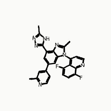 Cc1cc(-c2cc(-c3nnc(C)[nH]3)c3nc(C)n(-c4ccnc5c(F)ccc(F)c45)c3c2)ccn1